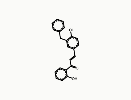 O=C(C=Cc1ccc(O)c(Cc2ccccc2)c1)c1ccccc1O